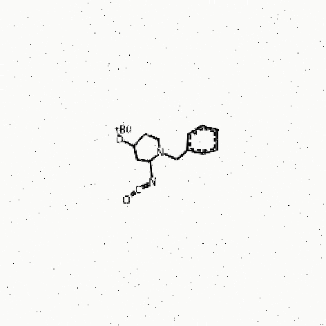 CC(C)(C)OC1CCN(Cc2ccccc2)C(N=C=O)C1